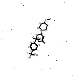 COC1CCN(C(C=C(C)C)CC(C)(C)c2ccc(C(F)(F)F)cc2)CC1